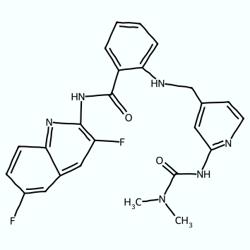 CN(C)C(=O)Nc1cc(CNc2ccccc2C(=O)Nc2nc3ccc(F)cc3cc2F)ccn1